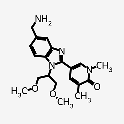 COCC(COC)n1c(-c2cc(C)c(=O)n(C)c2)nc2cc(CN)ccc21